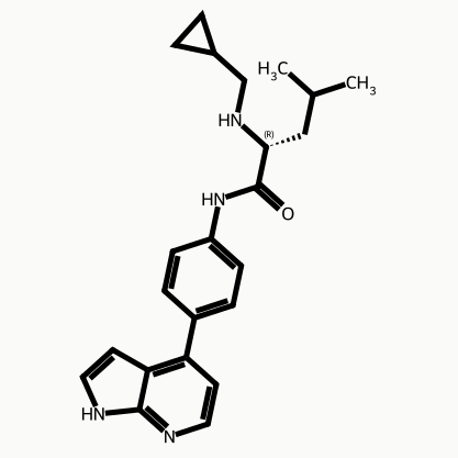 CC(C)C[C@@H](NCC1CC1)C(=O)Nc1ccc(-c2ccnc3[nH]ccc23)cc1